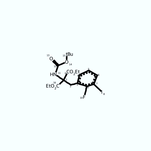 CCOC(=O)C(Cc1cccc(I)c1F)(NC(=O)OC(C)(C)C)C(=O)OCC